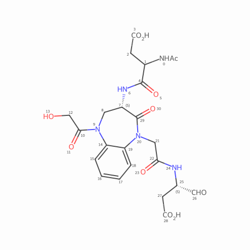 CC(=O)NC(CC(=O)O)C(=O)N[C@H]1CN(C(=O)CO)c2ccccc2N(CC(=O)N[C@H](C=O)CC(=O)O)C1=O